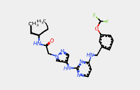 CCC(CC)NC(=O)Cn1cc(Nc2nccc(NCc3cccc(OC(F)F)c3)n2)cn1